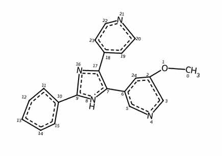 COc1cncc(-c2[nH]c(-c3ccccc3)nc2-c2ccncc2)c1